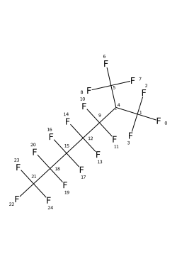 FC(F)(F)[C](C(F)(F)F)C(F)(F)C(F)(F)C(F)(F)C(F)(F)C(F)(F)F